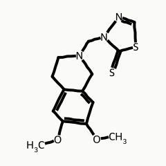 COc1cc2c(cc1OC)CN(Cn1ncsc1=S)CC2